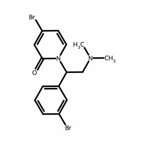 CN(C)CC(c1cccc(Br)c1)n1ccc(Br)cc1=O